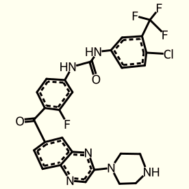 O=C(Nc1ccc(C(=O)c2ccc3ncc(N4CCNCC4)nc3c2)c(F)c1)Nc1ccc(Cl)c(C(F)(F)F)c1